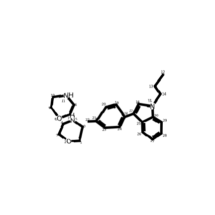 C1COCCN1.C1COCCN1.CCCn1cc(-c2ccc(C)cc2)c2ccccc21